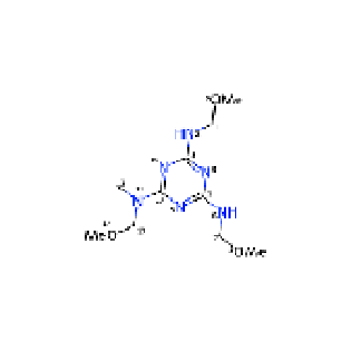 COCNc1nc(NCOC)nc(N(C)COC)n1